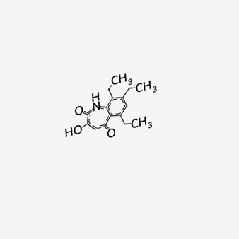 CCc1cc(CC)c2c(=O)cc(O)c(=O)[nH]c2c1CC